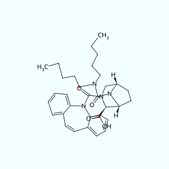 CCCCCN(CCCCC)C(=O)N1[C@H]2CC[C@@H]1[C@@H](C(=O)O)N(C(=O)N1c3ccccc3C=Cc3ccccc31)C2